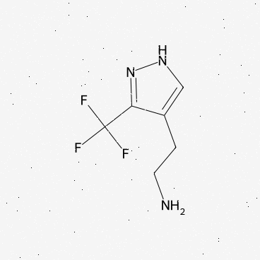 NCCc1c[nH]nc1C(F)(F)F